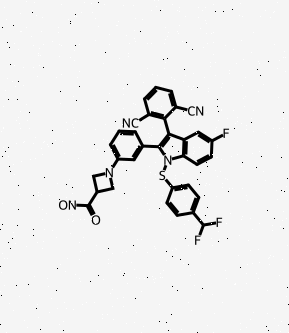 N#Cc1cccc(C#N)c1-c1c(-c2cccc(N3CC(C(=O)N=O)C3)c2)n(Sc2ccc(C(F)F)cc2)c2ccc(F)cc12